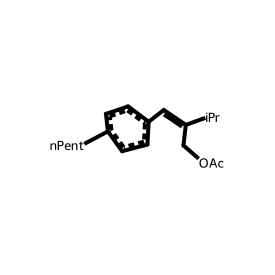 CCCCCc1ccc(C=C(COC(C)=O)C(C)C)cc1